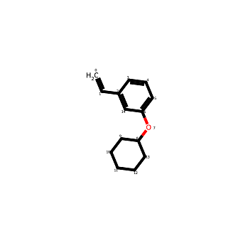 C=Cc1cccc(OC2CCCCC2)c1